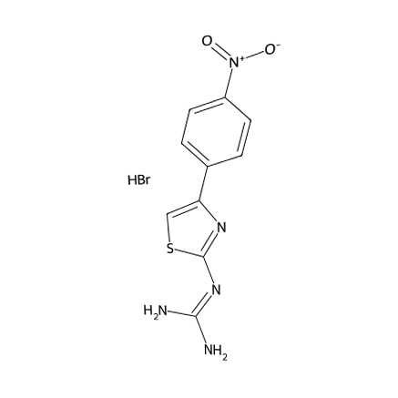 Br.NC(N)=Nc1nc(-c2ccc([N+](=O)[O-])cc2)cs1